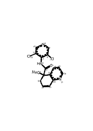 COC1(C(=O)Nc2c(Cl)cncc2Cl)CC=Cc2ncccc21